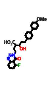 COc1ccc(-c2ccc(CCC(O)C(CCn3nnc4cccc(F)c4c3=O)C(=O)O)cc2)cc1